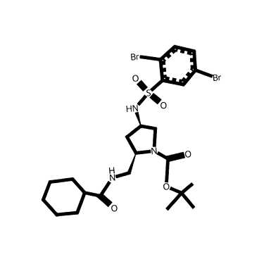 CC(C)(C)OC(=O)N1C[C@H](NS(=O)(=O)c2cc(Br)ccc2Br)C[C@@H]1CNC(=O)C1CCCCC1